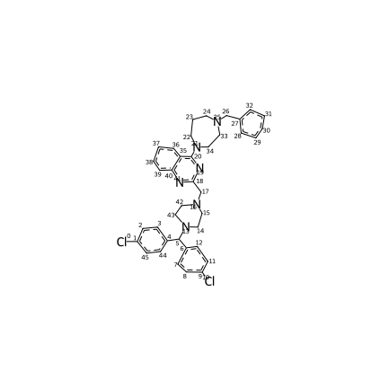 Clc1ccc(C(c2ccc(Cl)cc2)N2CCN(Cc3nc(N4CCCN(Cc5ccccc5)CC4)c4ccccc4n3)CC2)cc1